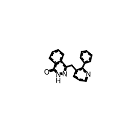 O=c1[nH]nc(Cc2cccnc2-c2ccccc2)c2ccccc12